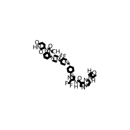 Cn1c(=O)n(C2CCC(=O)NC2=O)c2cccc(N3CCN([C@H]4CCN(C[C@H]5CC[C@H](n6cc(NC(=O)c7cnn8ccc(N9C[C@H]%10C[C@@H]9CO%10)nc78)c(C(F)F)n6)CC5)CC4(F)F)CC3)c21